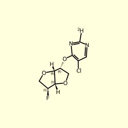 [2H]c1ncc(Cl)c(O[C@@H]2CO[C@H]3[C@@H]2OC[C@@H]3F)n1